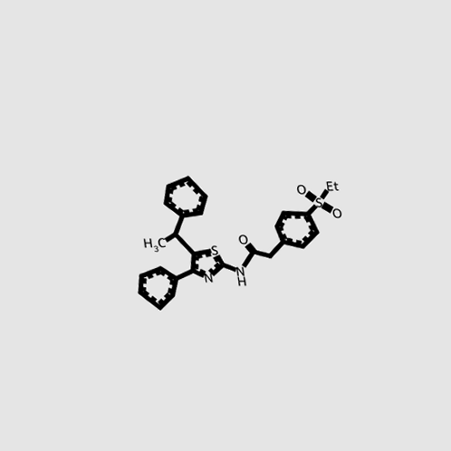 CCS(=O)(=O)c1ccc(CC(=O)Nc2nc(-c3ccccc3)c(C(C)c3ccccc3)s2)cc1